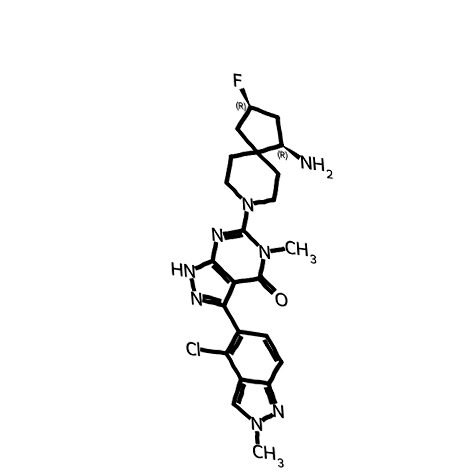 Cn1cc2c(Cl)c(-c3n[nH]c4nc(N5CCC6(CC5)C[C@@H](F)C[C@H]6N)n(C)c(=O)c34)ccc2n1